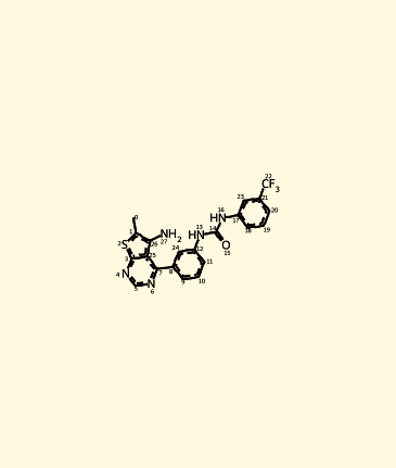 Cc1sc2ncnc(-c3cccc(NC(=O)Nc4cccc(C(F)(F)F)c4)c3)c2c1N